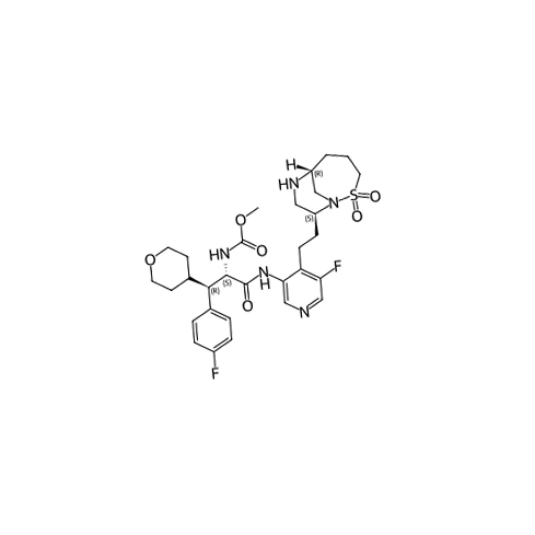 COC(=O)N[C@H](C(=O)Nc1cncc(F)c1CC[C@H]1CN[C@@H]2CCCS(=O)(=O)N1C2)[C@@H](c1ccc(F)cc1)C1CCOCC1